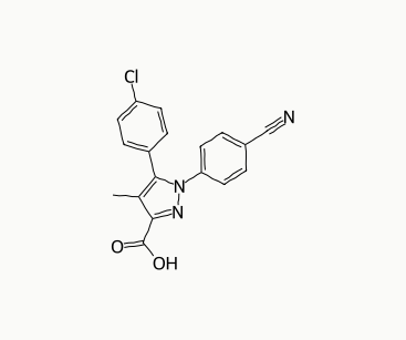 Cc1c(C(=O)O)nn(-c2ccc(C#N)cc2)c1-c1ccc(Cl)cc1